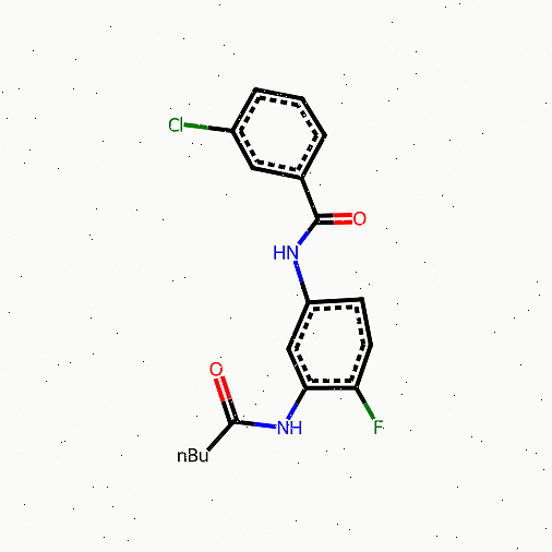 CCCCC(=O)Nc1cc(NC(=O)c2cccc(Cl)c2)ccc1F